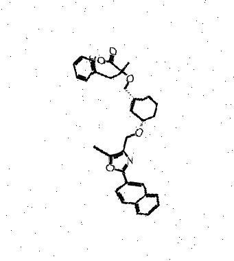 Cc1oc(-c2ccc3ccccc3c2)nc1CO[C@H]1CCC[C@@H](COC(C)(Cc2ccccc2)C(=O)O)C1